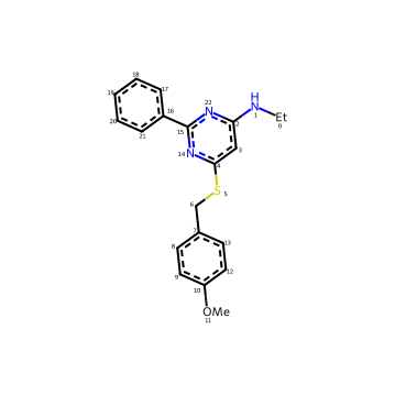 CCNc1cc(SCc2ccc(OC)cc2)nc(-c2ccccc2)n1